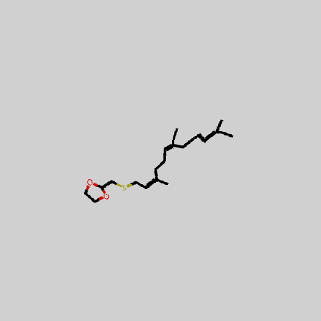 CC(C)=CCCC(C)=CCCC(C)=CCSCC1OCCO1